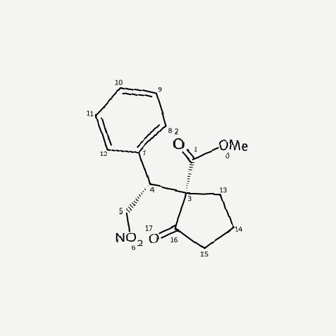 COC(=O)[C@]1([C@H](C[N+](=O)[O-])c2ccccc2)CCCC1=O